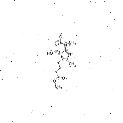 COC(=O)CCCn1c(C)nc2c1c(O)nc(=O)n2C